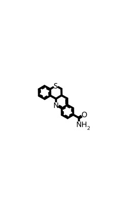 NC(=O)c1ccc2c(c1)=CC1CSc3ccccc3C1N=2